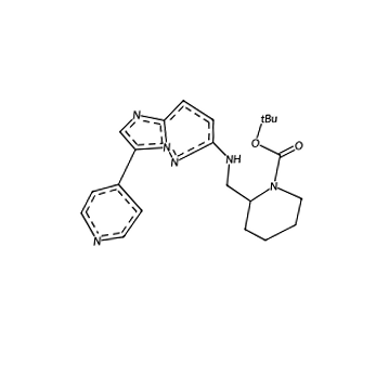 CC(C)(C)OC(=O)N1CCCCC1CNc1ccc2ncc(-c3ccncc3)n2n1